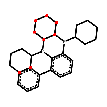 c1ccc(-c2cccc(P(C3CCCCC3)C3CCCCC3)c2P(C2CCCCC2)C2CCCCC2)cc1